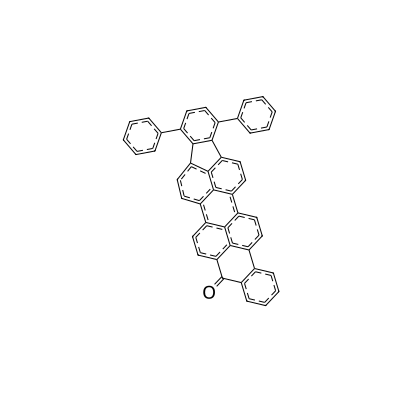 O=C1c2ccccc2-c2ccc3c4ccc5c6c(ccc(c7ccc1c2c73)c64)-c1c(-c2ccccc2)ccc(-c2ccccc2)c1-5